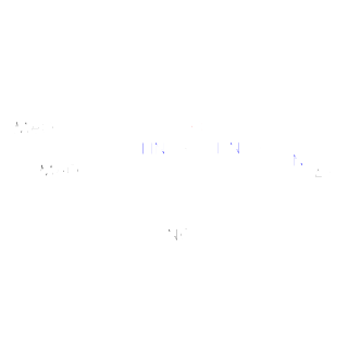 COc1ccc(CNC(=O)c2cc(C#N)ccc2N[C@@H]2CCN(C(C)=O)C2)cc1OC